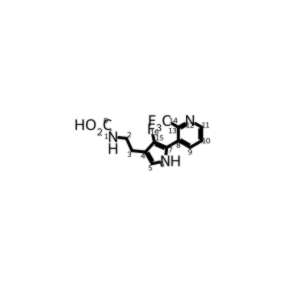 O=C(O)NCCc1c[nH]c(-c2cccnc2C(F)(F)F)c1F